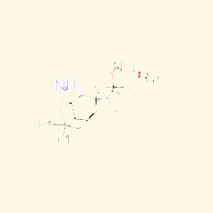 CCC(C(CO[N+](=O)[O-])O[N+](=O)[O-])C1(C)C=C2CC(C)(CC)CC(CN)(C2)C1